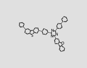 c1ccc(-c2ccc(-c3nc(-c4ccc(-c5ccc6c(c5)sc5ccc(-c7ccccc7)cc56)cc4)nc(-c4ccc5c(c4)oc4ccccc45)n3)cc2)cc1